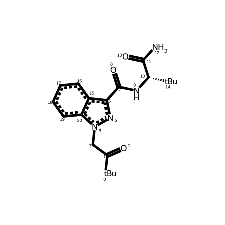 CC(C)(C)C(=O)Cn1nc(C(=O)N[C@H](C(N)=O)C(C)(C)C)c2ccccc21